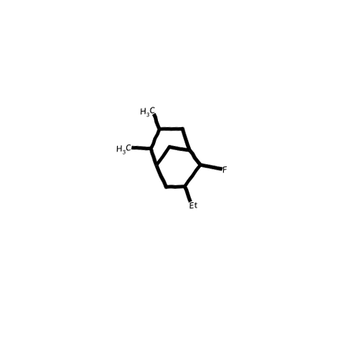 CCC1CC2CC(CC(C)C2C)C1F